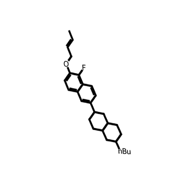 C/C=C/COc1ccc2cc(C3CCC4CC(CCCC)CCC4C3)ccc2c1F